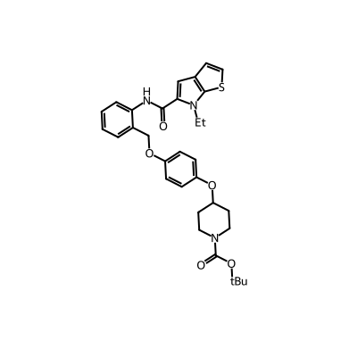 CCn1c(C(=O)Nc2ccccc2COc2ccc(OC3CCN(C(=O)OC(C)(C)C)CC3)cc2)cc2ccsc21